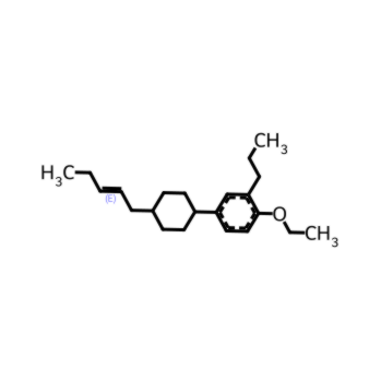 CC/C=C/CC1CCC(c2ccc(OCC)c(CCC)c2)CC1